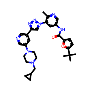 Cc1ncc(NC(=O)c2ccc(C(C)(C)C)o2)cc1-n1cc(-c2cncc(N3CCN(CC4CC4)CC3)c2)nn1